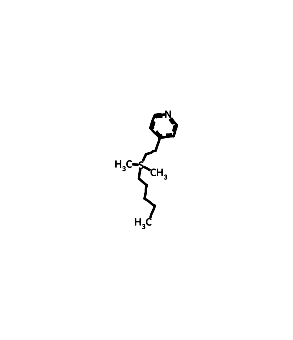 CCCCCS(C)(C)CCc1ccncc1